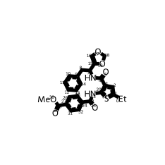 CCc1cc(C(=O)NC(Cc2ccccc2)C2=COCO2)c(NC(=O)c2ccc(C(=O)OC)cc2)s1